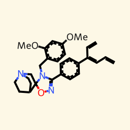 C=C/C=C(\C=C)c1ccc(C2=NOC3(CN4CCC3CC4)N2Cc2ccc(OC)cc2OC)cc1